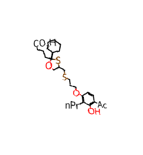 CCCc1c(OCCCSCC2COC(CCCC(=O)O)(C3CCCCC3)S2)ccc(C(C)=O)c1O